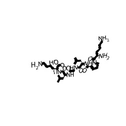 CC(C)C[C@H](NC(=O)CNC(=O)[C@H](CC(C)C)NC(=O)[C@@H]1CCCN1C(=O)[C@@H](N)CCCCN)C(=O)N[C@@H](CCCCN)C(=O)O